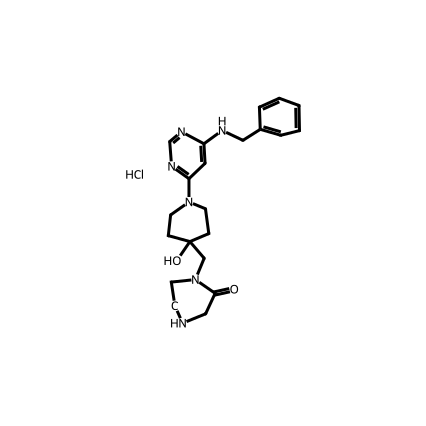 Cl.O=C1CNCCN1CC1(O)CCN(c2cc(NCc3ccccc3)ncn2)CC1